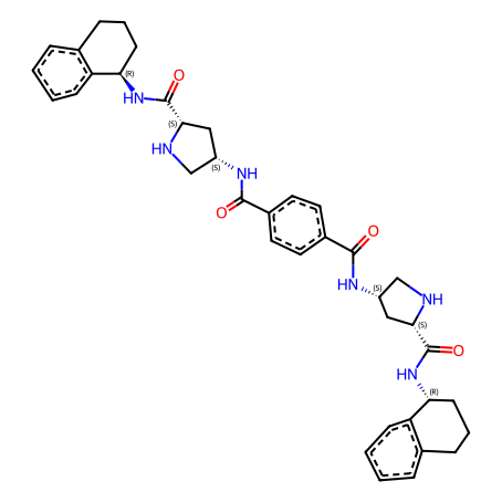 O=C(N[C@@H]1CN[C@H](C(=O)N[C@@H]2CCCc3ccccc32)C1)c1ccc(C(=O)N[C@@H]2CN[C@H](C(=O)N[C@@H]3CCCc4ccccc43)C2)cc1